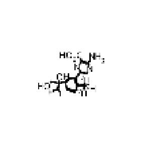 [2H]C([2H])([2H])c1ccc(C(O)(CO)C(F)F)cc1-c1cnc(N)c(C(=O)O)n1